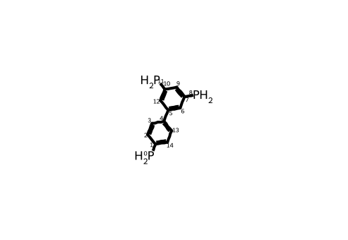 Pc1ccc(-c2cc(P)cc(P)c2)cc1